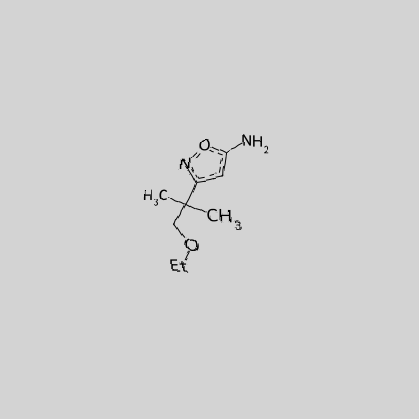 CCOCC(C)(C)c1cc(N)on1